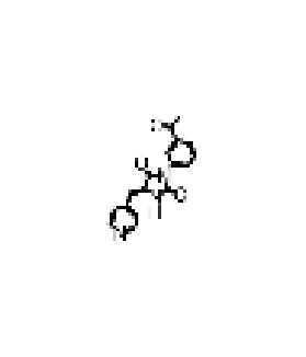 CC(=O)c1cccc(N2C(=O)N/C(=C\c3ccncc3)C2=O)c1